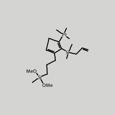 C=CC[Si](C)(C)C1=[C]([Pt]([CH3])([CH3])[CH3])CC=C1CCC[Si](C)(OC)OC